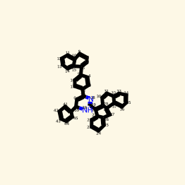 C1=C(c2ccc(-c3cccc4ccccc34)cc2)N=C(c2c3ccccc3cc3c2ccc2ccccc23)NC1c1ccccc1